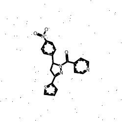 O=C(c1ccncc1)N1N=C(c2cccs2)CC1c1ccc([N+](=O)[O-])cc1